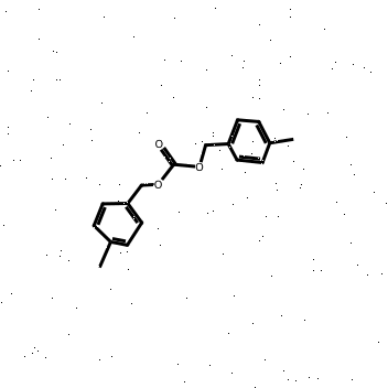 Cc1ccc(COC(=O)OCc2ccc(C)cc2)cc1